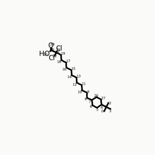 CC(C)(C)C1CCC(CCCCCCCCCCCCC(Cl)(Cl)C(=O)O)CC1